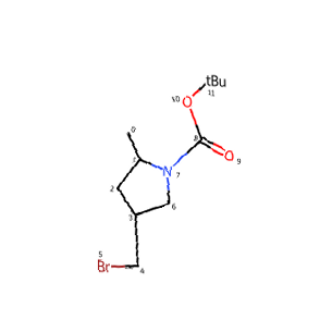 CC1CC(CBr)CN1C(=O)OC(C)(C)C